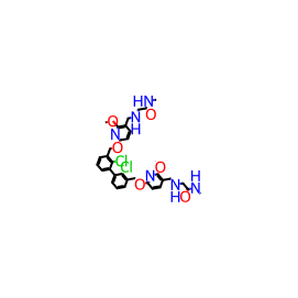 CNC(=O)CNCc1ccc(OCc2cccc(-c3cccc(COc4ccc(CNCC(=O)NC)c(OC)n4)c3Cl)c2Cl)nc1OC